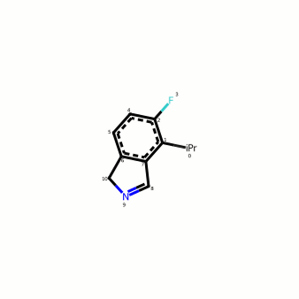 CC(C)c1c(F)ccc2c1C=NC2